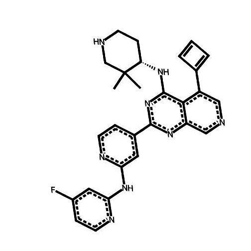 CC1(C)CNCC[C@@H]1Nc1nc(-c2ccnc(Nc3cc(F)ccn3)c2)nc2cncc(C3=CC=C3)c12